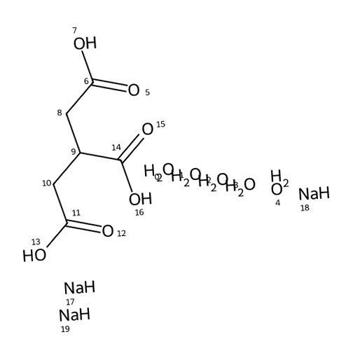 O.O.O.O.O.O=C(O)CC(CC(=O)O)C(=O)O.[NaH].[NaH].[NaH]